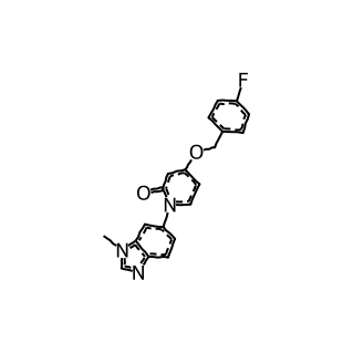 Cn1cnc2ccc(-n3ccc(OCc4ccc(F)cc4)cc3=O)cc21